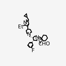 CCc1nn(CC2CC2)cc1C1CCN(C[C@@H]2CN(CC3(OC=O)CCCCC3)C[C@@H]2c2cccc(F)c2)CC1